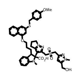 COc1ccc(CSc2cc(OCCCC3c4ccccc4N(C)C3(C(=O)O)c3c(CS(=O)(=O)Cc4cc(CO)n(C)n4)nn4c3CCC4)c3ccccc3c2)cc1